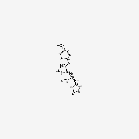 Oc1ccc(Cc2nnc3ccc(NC4CCCC4)nn23)cc1